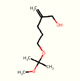 C=C(CO)CCCOC(C)(C)OC